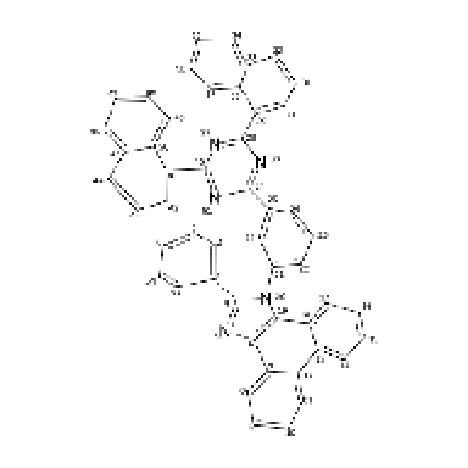 c1ccc(-c2nc3c4ccccc4c4ccccc4c3n2-c2cccc(-c3nc(-c4cccc5ccccc45)nc(-c4cccc5ccccc45)n3)c2)cc1